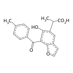 Cc1ccc(C(=O)c2c(O)c(C(C)C(=O)O)cc3ccoc23)cc1